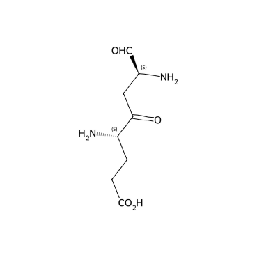 N[C@H](C=O)CC(=O)[C@@H](N)CCC(=O)O